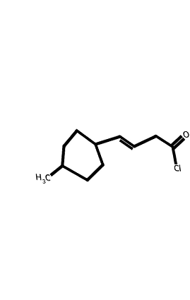 CC1CCC(C=CCC(=O)Cl)CC1